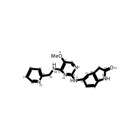 COc1cnc(Nc2ccc3c(c2)CC(=O)N3)nc1NCc1ccccn1